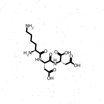 NCCCC[C@H](N)C(=O)N[C@@H](CC(=O)O)C(=O)N[C@@H](CC(=O)O)C(=O)O